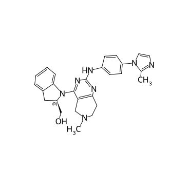 Cc1nccn1-c1ccc(Nc2nc3c(c(N4c5ccccc5C[C@@H]4CO)n2)CN(C)CC3)cc1